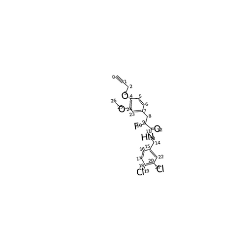 C#CCOc1ccc(CC(F)C(=O)NCc2ccc(Cl)c(Cl)c2)cc1OC